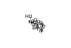 O=C(c1cc(C(F)(F)F)cc(C(F)(F)F)c1)N1CCO[C@@](CCN2CCC3(CC2)c2ccccc2C[C@@H]3OCC(=O)N2CCC[C@@H]2CCCO)(c2ccc(Cl)c(Cl)c2)C1